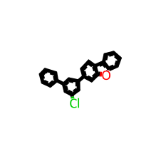 Clc1cc(-c2ccccc2)cc(-c2ccc3c(c2)oc2ccccc23)c1